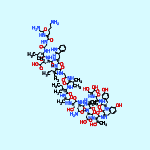 CC[C@H](C)[C@H](NC(=O)[C@H](Cc1c[nH]c2ccccc12)NC(=O)[C@H](CCC(=O)O)NC(=O)[C@H](CC(C)C)NC(=O)CNC(=O)[C@H](CCCCN)NC(=O)CN)C(=O)NCC(=O)N[C@H](C(=O)N[C@H](C(=O)N[C@@H](C)C(=O)N[C@@H](CO)C(=O)N[C@@H](CC(N)=O)C(=O)N[C@@H](C)C(=O)N[C@@H](CC(=O)O)C(=O)N[C@H](C(=O)N[C@@H](Cc1ccc(O)cc1)C(=O)N[C@@H](Cc1ccc(O)cc1)C(=O)N[C@@H](C)C(=O)N[C@@H](CO)C(=O)O)[C@@H](C)O)[C@@H](C)CC)C(C)C